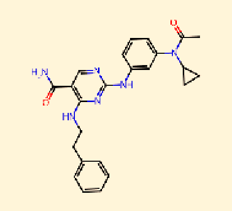 CC(=O)N(c1cccc(Nc2ncc(C(N)=O)c(NCCc3ccccc3)n2)c1)C1CC1